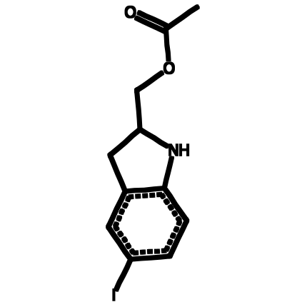 CC(=O)OCC1Cc2cc(I)ccc2N1